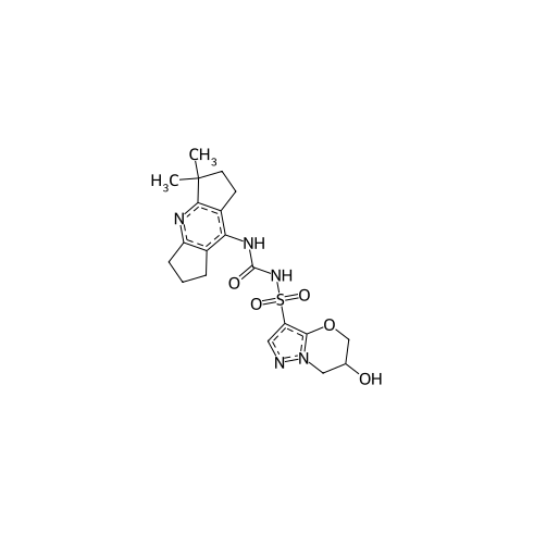 CC1(C)CCc2c1nc1c(c2NC(=O)NS(=O)(=O)c2cnn3c2OCC(O)C3)CCC1